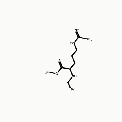 CC(C)CNC(CCCNC(=N)N)C(=O)OC(C)(C)C